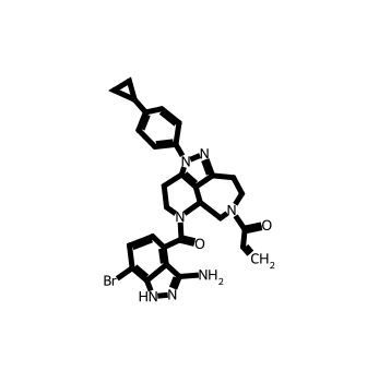 C=CC(=O)N1CCc2nn(-c3ccc(C4CC4)cc3)c3c2C(C1)N(C(=O)c1ccc(Br)c2[nH]nc(N)c12)CC3